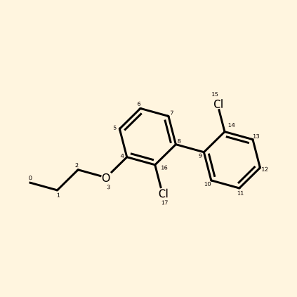 CCCOc1cccc(-c2ccccc2Cl)c1Cl